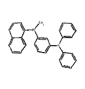 CN(c1cccc(N(c2ccccc2)c2ccccc2)c1)c1cccc2ccccc12